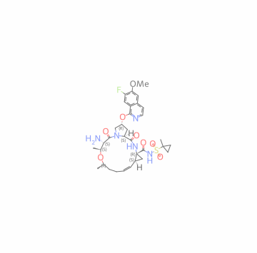 COc1cc2ccnc(O[C@@H]3C[C@H]4C(=O)N[C@]5(C(=O)NS(=O)(=O)C6(C)CC6)C[C@H]5C=CCC[C@@H](C)O[C@@H](C)[C@H](N)C(=O)N4C3)c2cc1F